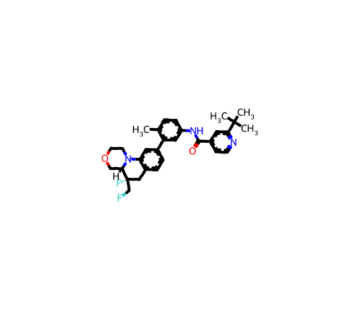 Cc1ccc(NC(=O)c2ccnc(C(C)(C)C)c2)cc1-c1ccc2c(c1)N1CCOC[C@H]1[C@](F)(CF)C2